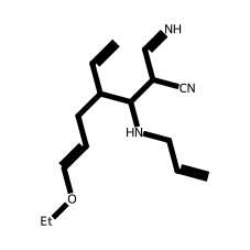 C=CCNC(C(C#N)C=N)C(C=C)C/C=C/OCC